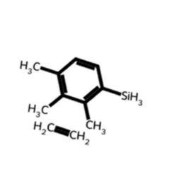 C=C.Cc1ccc([SiH3])c(C)c1C